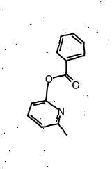 Cc1cccc(OC(=O)c2ccccc2)n1